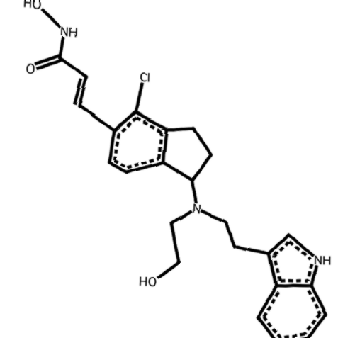 O=C(C=Cc1ccc2c(c1Cl)CCC2N(CCO)CCc1c[nH]c2ccccc12)NO